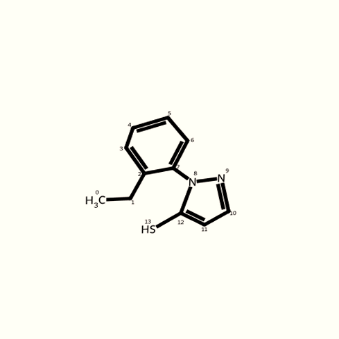 CCc1ccccc1-n1nccc1S